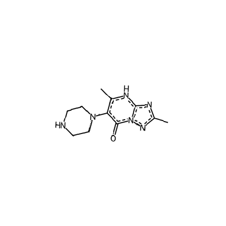 Cc1nc2[nH]c(C)c(N3CCNCC3)c(=O)n2n1